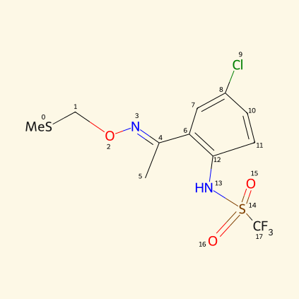 CSCO/N=C(\C)c1cc(Cl)ccc1NS(=O)(=O)C(F)(F)F